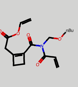 C=COC(=O)CC1=C(C(=O)N(COCCCC)C(=O)C=C)CC1